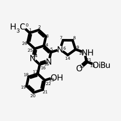 Cc1ccc2c(N3CCC(NC(=O)OCC(C)C)C3)nc(-c3ccccc3O)nc2c1